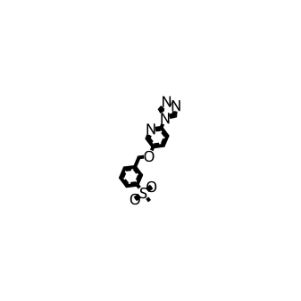 CS(=O)(=O)c1cccc(COc2ccc(-n3cnnc3)nc2)c1